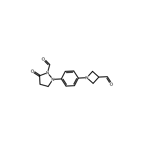 O=CC1CN(c2ccc(N3CCC(=O)N3C=O)cc2)C1